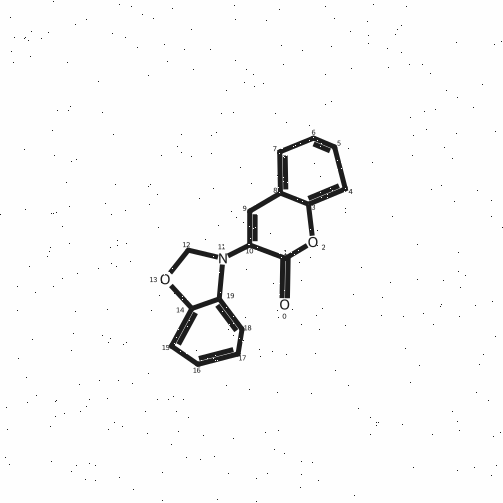 O=c1oc2ccccc2cc1N1COc2ccccc21